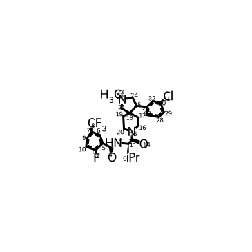 CC(C)[C@@H](NC(=O)c1cc(C(F)(F)F)ccc1F)C(=O)N1CCC2(CC1)CN(C)CC2c1cccc(Cl)c1